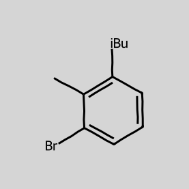 CCC(C)c1cccc(Br)c1C